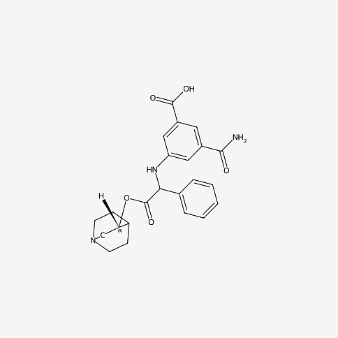 NC(=O)c1cc(NC(C(=O)O[C@H]2CN3CCC2CC3)c2ccccc2)cc(C(=O)O)c1